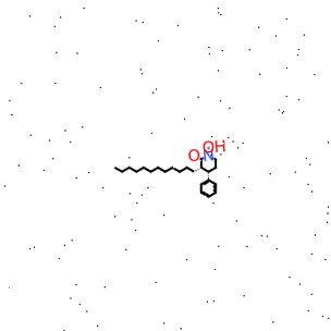 CCCCCCCCCCCC[C@@H]1C(=O)N(O)CC[C@@H]1c1ccccc1